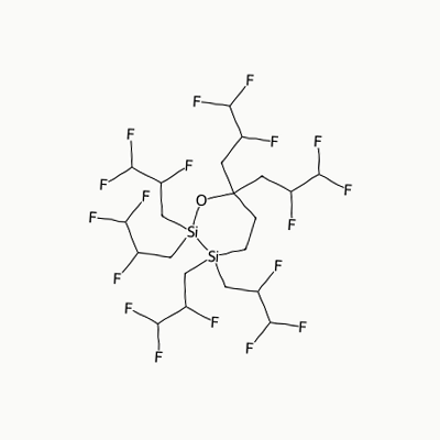 FC(F)C(F)CC1(CC(F)C(F)F)CC[Si](CC(F)C(F)F)(CC(F)C(F)F)[Si](CC(F)C(F)F)(CC(F)C(F)F)O1